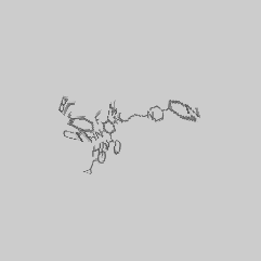 O=C(NOCC1CC1)c1cc2c(ncn2CCCN2CCC(c3ccncc3)CC2)c(F)c1Nc1ccc(Br)cc1Cl